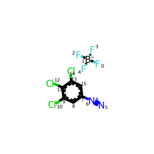 F[B-](F)(F)F.N#[N+]c1cc(Cl)c(Cl)c(Cl)c1